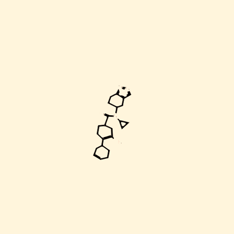 N#CC1=C(C2CC=CCC2)CCC(C(=O)N(C2CC2)C2CCc3[nH]ncc3C2)C1